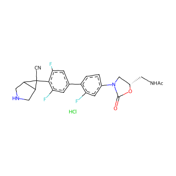 CC(=O)NC[C@H]1CN(c2ccc(-c3cc(F)c(C4(C#N)C5CNCC54)c(F)c3)c(F)c2)C(=O)O1.Cl